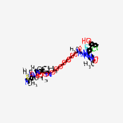 COc1cc(-c2scnc2C)ccc1[C@H](C)NC(=O)[C@@H]1CCCN1C(=O)C(c1cc(OCCOCCOCCOCCOCCOCCOCCN(C)C(=O)CCNc2nc(N3CCN(C(C)=O)CC3)c3cc(Cl)c(-c4cc(O)cc5ccccc45)c(F)c3n2)no1)C(C)C